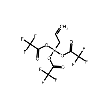 C=CC[Si](OC(=O)C(F)(F)F)(OC(=O)C(F)(F)F)OC(=O)C(F)(F)F